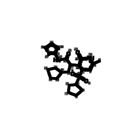 Cc1cc(S(=O)(=O)C2CCCC2)c(C(CC2CCCC2)C(=O)Nc2nccs2)c(=O)[nH]1